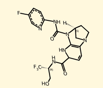 O=C(N[C@H](CO)C(F)(F)F)C1C=CC2=C(N1)N(C(=O)Nc1ccc(F)cn1)[C@H]1CCN2C1